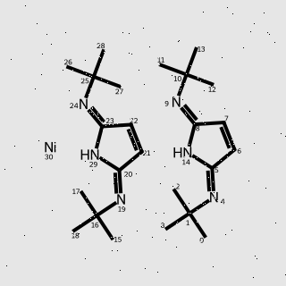 CC(C)(C)N=C1C=CC(=NC(C)(C)C)N1.CC(C)(C)N=C1C=CC(=NC(C)(C)C)N1.[Ni]